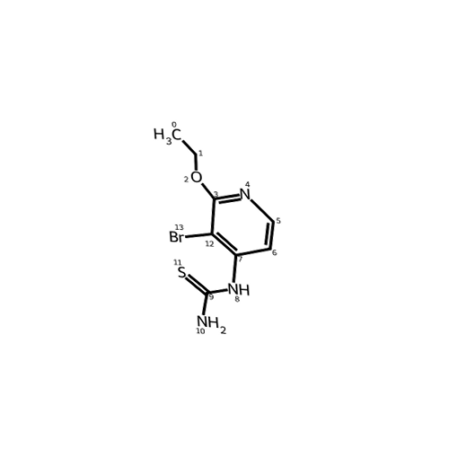 CCOc1nccc(NC(N)=S)c1Br